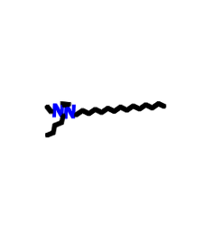 CCCCCCCCCCCCCCCN1C=CN(CC)C1CCCC